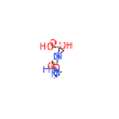 Cc1cc(C)nc(NS(=O)(=O)c2ccc(N=Nc3ccc(O)c(CCC(=O)O)c3)cc2)n1